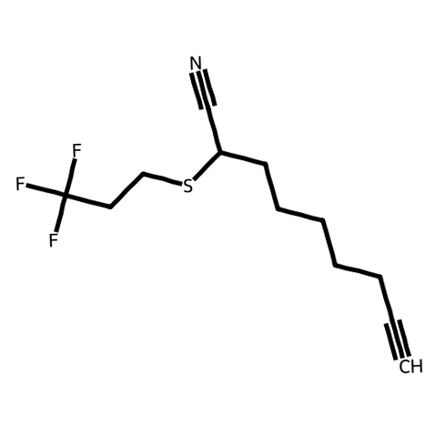 C#CCCCCCC(C#N)SCCC(F)(F)F